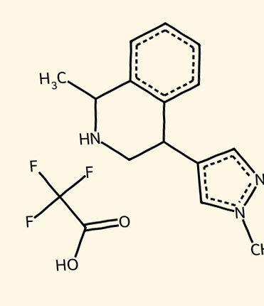 CC1NCC(c2cnn(C)c2)c2ccccc21.O=C(O)C(F)(F)F